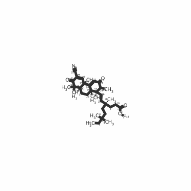 CCC(C)(C)CC[C@](C)(CCC(=O)OF)CC[C@]1(C)C(C)C(=O)C=C2[C@@]3(C)C=C(C#N)C(=O)C(C)(C)[C@@H]3CC[C@]21C